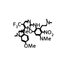 CNc1cc(OC)c(Nc2ncc(C(F)(F)F)c(-c3cn(C)c4cc(OC)ccc34)n2)c(CCN(C)C)c1[N+](=O)[O-]